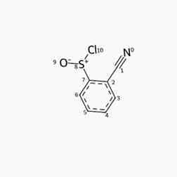 N#Cc1ccccc1[S+]([O-])Cl